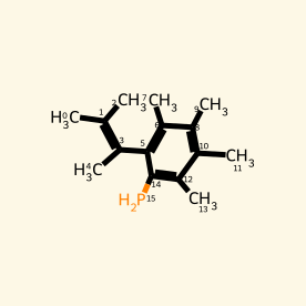 CC(C)=C(C)c1c(C)c(C)c(C)c(C)c1P